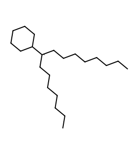 CCCCCCCC[C](CCCCCCC)C1CCCCC1